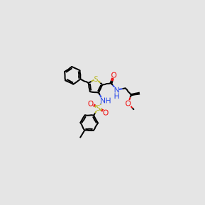 C=C(CNC(=O)c1sc(-c2ccccc2)cc1NS(=O)(=O)c1ccc(C)cc1)OC